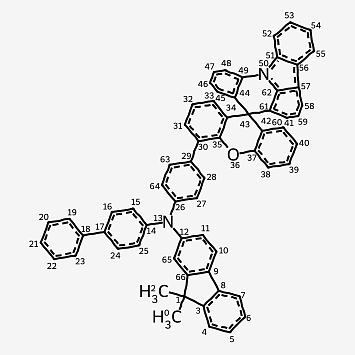 CC1(C)c2ccccc2-c2ccc(N(c3ccc(-c4ccccc4)cc3)c3ccc(-c4cccc5c4Oc4ccccc4C54c5ccccc5-n5c6ccccc6c6cccc4c65)cc3)cc21